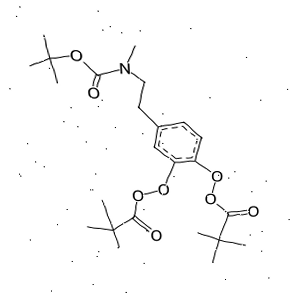 CN(CCc1ccc(OOC(=O)C(C)(C)C)c(OOC(=O)C(C)(C)C)c1)C(=O)OC(C)(C)C